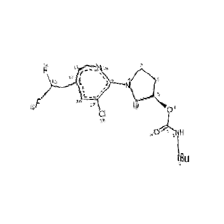 CC(C)(C)NC(=O)O[C@@H]1CCN(c2ncc(C(F)F)cc2Cl)C1